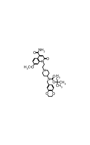 COc1ccc2c(C(N)=O)cc(=O)n(CCN3CCC(N(Cc4ccc5c(c4)OCCO5)C(=O)OC(C)(C)C)CC3)c2c1